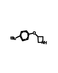 CC(C)(C)c1ccc(OC2CNC2)cc1